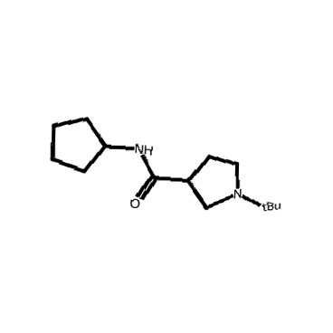 CC(C)(C)N1CCC(C(=O)NC2CCCC2)C1